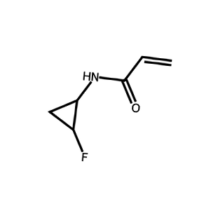 C=CC(=O)NC1CC1F